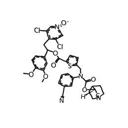 COc1ccc(C(Cc2c(Cl)c[n+]([O-])cc2Cl)OC(=O)c2ccc(CN(C(=O)O[C@H]3CN4CCC3CC4)c3cccc(C#N)c3)s2)cc1OC